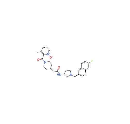 Cc1ccc[n+]([O-])c1C(=O)N1CCC(=CC(=O)N[C@@H]2CCN(Cc3ccc4cc(F)ccc4c3)C2)CC1